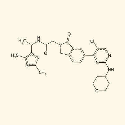 Cc1nc(C(C)NC(=O)CN2Cc3ccc(-c4nc(NC5CCOCC5)ncc4Cl)cc3C2=O)c(C)s1